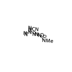 CNCC(CC(=O)N1CCN(c2ccc(-c3nc(-c4cnn(C)c4)cn4ncc(C#N)c34)cn2)CC1)c1ccccc1